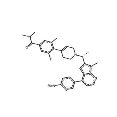 CNc1ccc(-c2ccnc3c2cc([C@@H](C)N2CC=C(c4c(C)cc(C(=O)N(C)C)cc4F)CC2)n3C)cn1